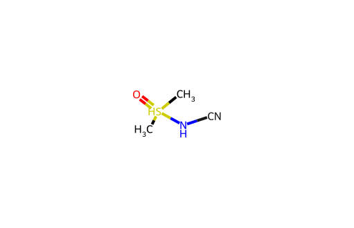 C[SH](C)(=O)NC#N